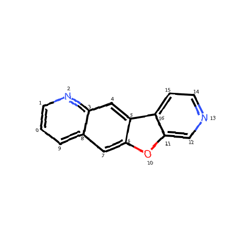 c1cnc2cc3c(cc2c1)oc1cnccc13